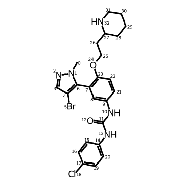 Cn1ncc(Br)c1-c1cc(NC(=O)Nc2ccc(Cl)cc2)ccc1OCCC1CCCCN1